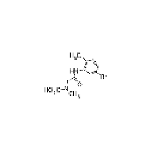 Cc1ccc(Br)cc1NC(=O)CN(C)C(=O)O